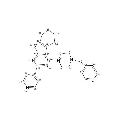 c1ccc(CN2CCN(c3nc(-c4ccncc4)nc4sc5c(c34)CCCC5)CC2)cc1